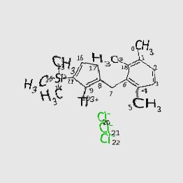 Cc1ccc(C)c(CC2=[C]([Ti+3])C([Si](C)(C)C)=CC2)c1C.[Cl-].[Cl-].[Cl-]